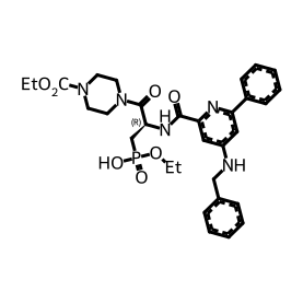 CCOC(=O)N1CCN(C(=O)[C@H](CP(=O)(O)OCC)NC(=O)c2cc(NCc3ccccc3)cc(-c3ccccc3)n2)CC1